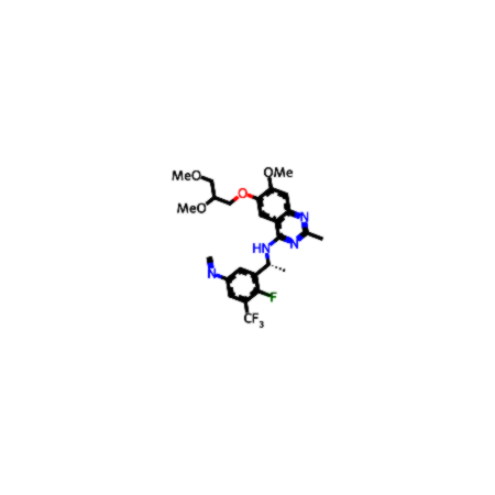 C=Nc1cc([C@@H](C)Nc2nc(C)nc3cc(OC)c(OCC(COC)OC)cc23)c(F)c(C(F)(F)F)c1